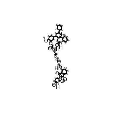 COc1ccc(-c2cc(-c3ccccc3)nc3c2CC(=O)Nc2ccccc2-3)cc1OCC(=O)NCCOCCOCCNc1cccc2c1C(=O)N(C1CCC(=O)NC1=O)C2=O